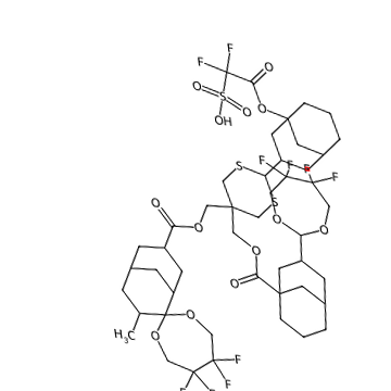 CC1CC2CC(C(=O)OCC3(COC(=O)C45CCCC(CC(C6OCC(F)(F)C(F)(F)CO6)C4)C5)CSC(C4CC5CCCC(OC(=O)C(F)(F)S(=O)(=O)O)(C5)C4)SC3)CC(C2)C12OCC(F)(F)C(F)(F)CO2